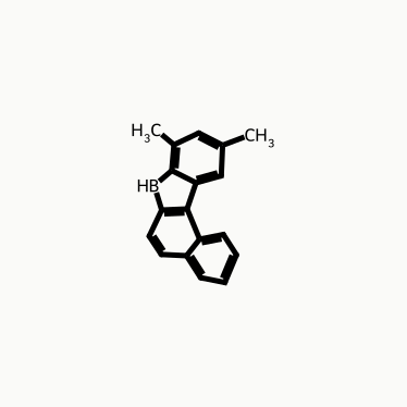 Cc1cc(C)c2c(c1)-c1c(ccc3ccccc13)B2